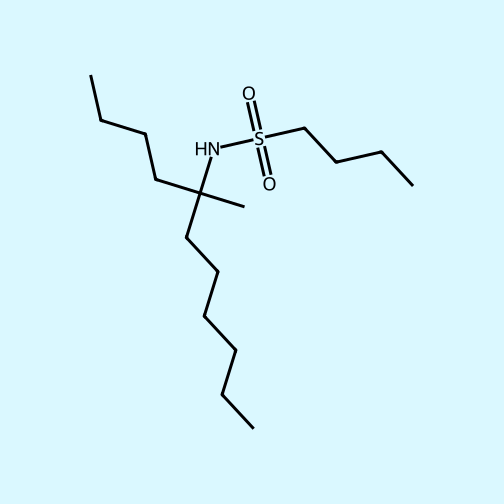 CCCCCCC(C)(CCCC)NS(=O)(=O)CCCC